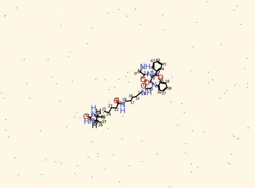 C[C@H](N)C(=O)N[C@H]1C(=O)N(CC(=O)NCCCCCNC(=O)CCCC[C@@H]2SC[C@@H]3NC(=O)N[C@@H]32)c2ccccc2O[C@H]1c1ccccc1